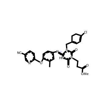 COC(=O)CCn1c(=O)[nH]/c(=N\c2ccc(Oc3ccc(C#N)cn3)c(C)c2)n(CC2=CC=C(Cl)CC2)c1=O